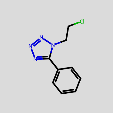 ClCCn1nnnc1-c1ccccc1